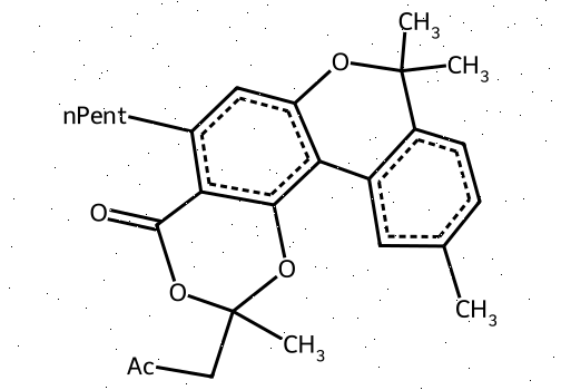 CCCCCc1cc2c(c3c1C(=O)OC(C)(CC(C)=O)O3)-c1cc(C)ccc1C(C)(C)O2